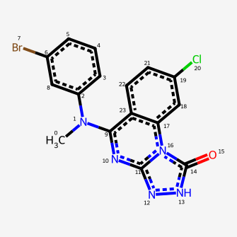 CN(c1cccc(Br)c1)c1nc2n[nH]c(=O)n2c2cc(Cl)ccc12